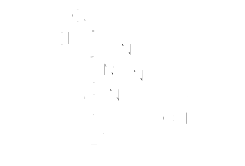 O=C(O)C1CCN(c2nc3cc(Cl)c(Cl)cc3n2-c2ccc3cc(F)ccc3n2)CC1